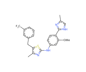 COc1cc(Nc2nc(C)c(Cc3cccc(C(F)(F)F)c3)s2)ccc1-c1nc(C)c[nH]1